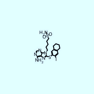 Nc1ncnc2c1nc(Sc1cc3c(cc1I)CCCC3)n2CCCCCS(N)(=O)=O